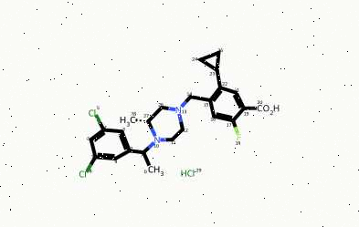 CC(c1cc(Cl)cc(Cl)c1)N1CCN(Cc2cc(F)c(C(=O)O)cc2C2CC2)C[C@H]1C.Cl